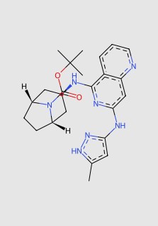 Cc1cc(Nc2cc3ncccc3c(N[C@@H]3C[C@H]4CC[C@@H](C3)N4C(=O)OC(C)(C)C)n2)n[nH]1